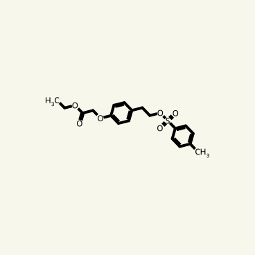 CCOC(=O)COc1ccc(CCOS(=O)(=O)c2ccc(C)cc2)cc1